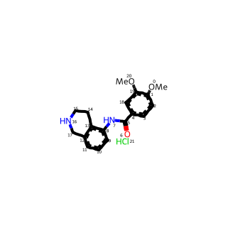 COc1ccc(C(=O)Nc2cccc3c2CCNC3)cc1OC.Cl